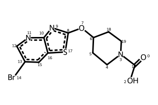 O=C(O)N1CCC(Oc2nc3ncc(Br)cc3s2)CC1